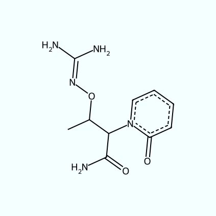 CC(ON=C(N)N)C(C(N)=O)n1ccccc1=O